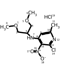 COCC(COC)Nc1cc(C)nc(Cl)c1[N+](=O)[O-].Cl